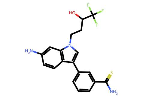 NC(=S)c1cccc(-c2cn(CCC(O)C(F)(F)F)c3cc(N)ccc23)c1